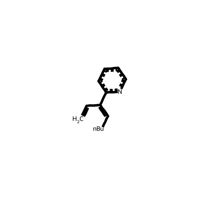 C=CC(=CCCCC)c1ccccn1